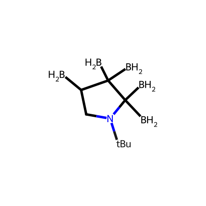 BC1CN(C(C)(C)C)C(B)(B)C1(B)B